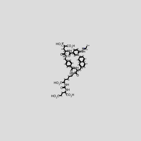 O=C(O)CCC(NC(=O)NC(CCCCNC(=O)C(Cc1ccc2ccccc2c1)NC(=O)c1ccc(CNC(=O)C(CC(C(=O)O)C(=O)O)NC(=O)c2ccc(N/N=C/I)nc2)cc1)C(=O)O)C(=O)O